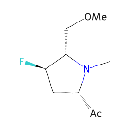 COC[C@H]1[C@H](F)C[C@@H](C(C)=O)N1C